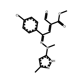 COC(=O)/C(C=O)=C/C(=N\N(C)c1cc(C)n[nH]1)c1ccc(Cl)cc1